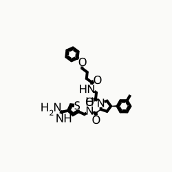 Cc1cccc([C@H]2C[C@@H](C(=O)NCc3cc(C(=N)N)cs3)N(C(=O)CNC(=O)CCCOc3ccccc3)C2)c1